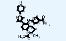 CC(=O)N1c2ccc(-c3cnn(C4CCNCC4)c3)c(Oc3ccc(C(N)=O)cn3)c2CC[C@@H]1C